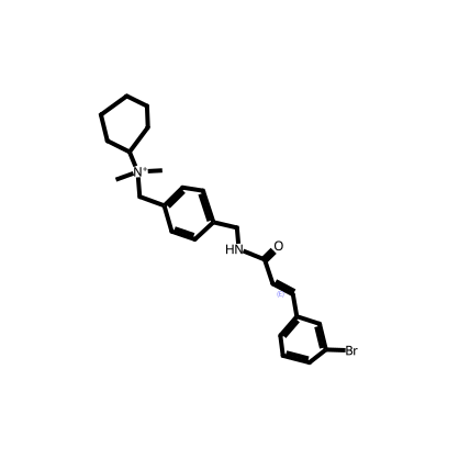 C[N+](C)(Cc1ccc(CNC(=O)/C=C/c2cccc(Br)c2)cc1)C1CCCCC1